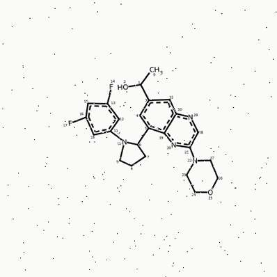 CC(O)c1cc(C2CCCN2c2cc(F)cc(F)c2)c2nc(N3CCOCC3)cnc2c1